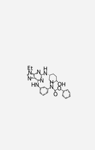 CCn1cnc2c(Nc3cccc(NC(=O)Oc4ccccc4)c3)nc(N[C@H]3CC[C@H](O)CC3)nc21